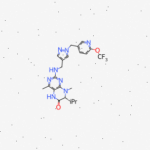 Cc1nc(NCc2cnn(Cc3ccc(OC(F)(F)F)nc3)c2)nc2c1NC(=O)C(C(C)C)N2C